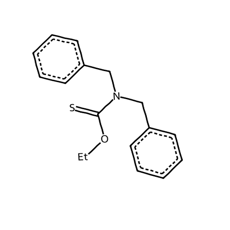 CCOC(=S)N(Cc1ccccc1)Cc1ccccc1